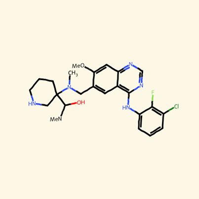 CNC(O)C1(N(C)Cc2cc3c(Nc4cccc(Cl)c4F)ncnc3cc2OC)CCCNC1